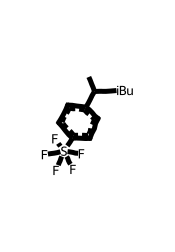 CCC(C)C(C)c1ccc(S(F)(F)(F)(F)F)cc1